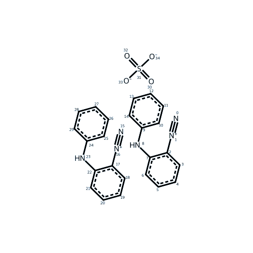 N#[N+]c1ccccc1Nc1ccccc1.N#[N+]c1ccccc1Nc1ccccc1.O=S(=O)([O-])[O-]